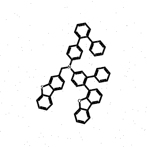 c1ccc(-c2ccccc2-c2ccc(N(Cc3ccc4c(c3)sc3ccccc34)c3ccc(-c4cccc5c4oc4ccccc45)c(-c4ccccc4)c3)cc2)cc1